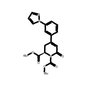 CC(C)(C)OC(=O)[C@H]1CC(c2cccc(-n3cccn3)c2)=CC(=O)N1C(=O)OC(C)(C)C